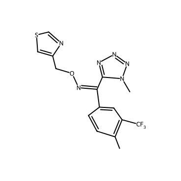 Cc1ccc(C(=NOCc2cscn2)c2nnnn2C)cc1C(F)(F)F